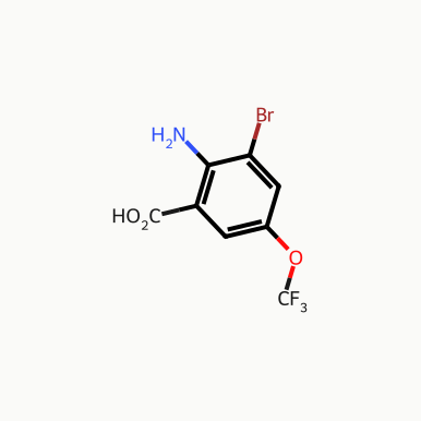 Nc1c(Br)cc(OC(F)(F)F)cc1C(=O)O